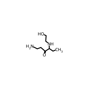 CCC(NCCO)C(=O)CCN